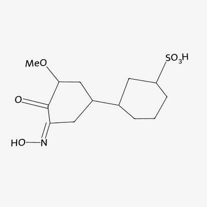 COC1CC(C2CCCC(S(=O)(=O)O)C2)CC(=NO)C1=O